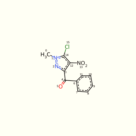 Cn1nc(C(=O)c2ccccc2)c([N+](=O)[O-])c1Cl